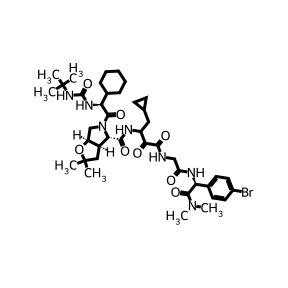 CN(C)C(=O)[C@@H](NC(=O)CNC(=O)C(=O)C(CC1CC1)NC(=O)[C@@H]1[C@H]2CC(C)(C)O[C@H]2CN1C(=O)[C@@H](NC(=O)NC(C)(C)C)C1CCCCC1)c1ccc(Br)cc1